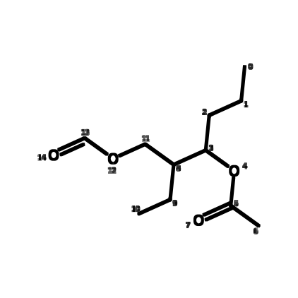 CCCC(OC(C)=O)C(CC)COC=O